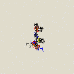 NS(=O)(=O)c1ccc(NC(CCN2CCN(CCCP(=O)(Oc3ccccc3)Oc3ccccc3)CC2)CSc2ccccc2)c(S(=O)(=O)C(F)(F)F)c1